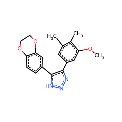 COc1cc(-c2nn[nH]c2-c2ccc3c(c2)OCCO3)cc(C)c1C